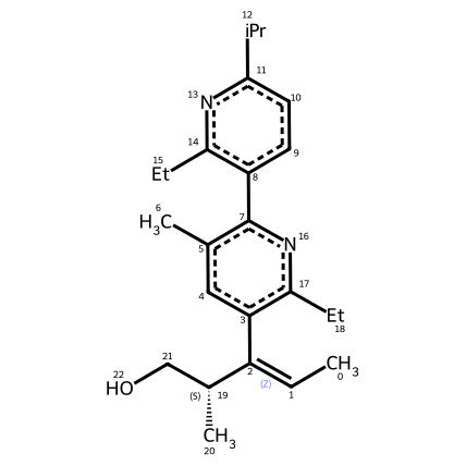 C/C=C(\c1cc(C)c(-c2ccc(C(C)C)nc2CC)nc1CC)[C@H](C)CO